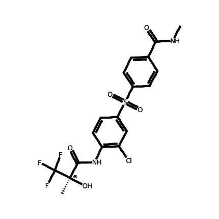 CNC(=O)c1ccc(S(=O)(=O)c2ccc(NC(=O)[C@@](C)(O)C(F)(F)F)c(Cl)c2)cc1